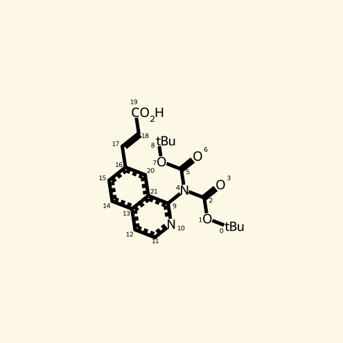 CC(C)(C)OC(=O)N(C(=O)OC(C)(C)C)c1nccc2ccc(C=CC(=O)O)cc12